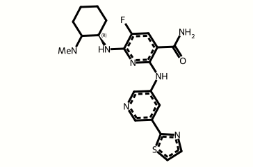 CNC1CCCC[C@H]1Nc1nc(Nc2cncc(-c3nccs3)c2)c(C(N)=O)cc1F